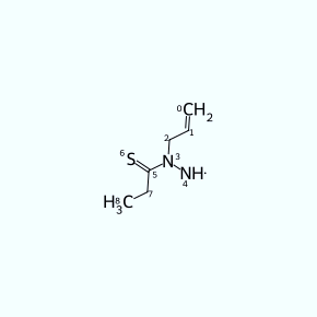 C=CCN([NH])C(=S)CC